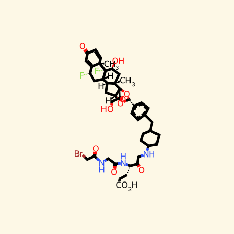 C[C@]12C=CC(=O)C=C1[C@@H](F)C[C@H]1[C@@H]3C[C@H]4O[C@@H](c5ccc(CC6CCC(NCC(=O)[C@H](CCC(=O)O)NC(=O)CNC(=O)CBr)CC6)cc5)O[C@@]4(C(=O)CO)[C@@]3(C)C[C@H](O)[C@@]12F